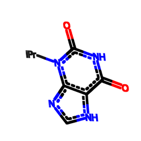 CC(C)n1c(=O)[nH]c(=O)c2[nH]cnc21